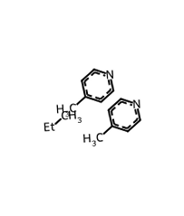 CCC.Cc1ccncc1.Cc1ccncc1